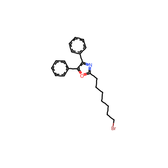 BrCCCCCCCc1nc(-c2ccccc2)c(-c2ccccc2)o1